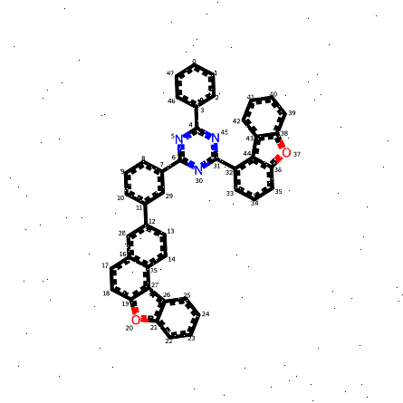 c1ccc(-c2nc(-c3cccc(-c4ccc5c(ccc6oc7ccccc7c65)c4)c3)nc(-c3cccc4oc5ccccc5c34)n2)cc1